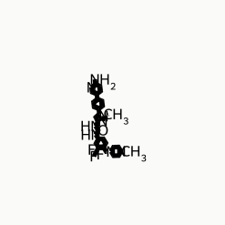 CN1CCN(Cc2ccc(NC(=O)Nc3cc(-c4ccc(-c5ccc(N)nc5)cc4)n(C)n3)cc2C(F)(F)F)CC1